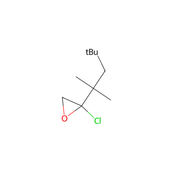 CC(C)(C)CC(C)(C)C1(Cl)CO1